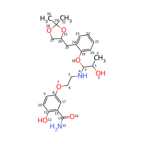 CC(O)C(NCCOc1ccc(O)c(C(N)=O)c1)Oc1ccccc1CC1COC(C)(C)O1